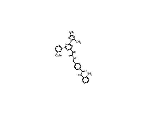 COc1cccc(-c2cc(NC(=O)NCc3ccc(C(=O)Nc4ccccc4N)cc3)nc(-n3nc(C)cc3C)n2)c1